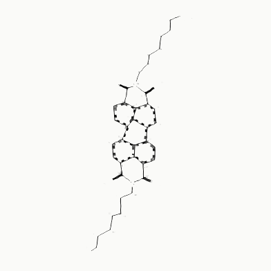 CCCCCCCCN1C(=O)c2ccc3c4ccc5c6c(ccc(c7ccc(c2c37)C1=S)c64)C(=O)N(CCCCCCCC)C5=S